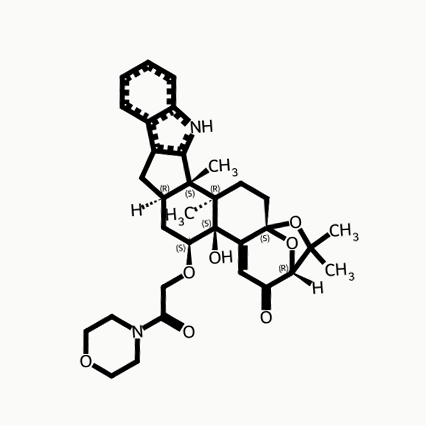 CC1(C)O[C@@]23CC[C@]4(C)[C@@]5(C)c6[nH]c7ccccc7c6C[C@@H]5C[C@H](OCC(=O)N5CCOCC5)[C@@]4(O)C2=CC(=O)[C@@H]1O3